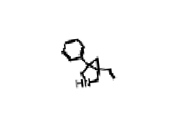 C=CC12CNCC1(c1ccccc1)C2